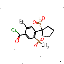 CCc1cc(C2([SH](=O)=O)CCCC2)c(S(C)(=O)=O)cc1C(=O)Cl